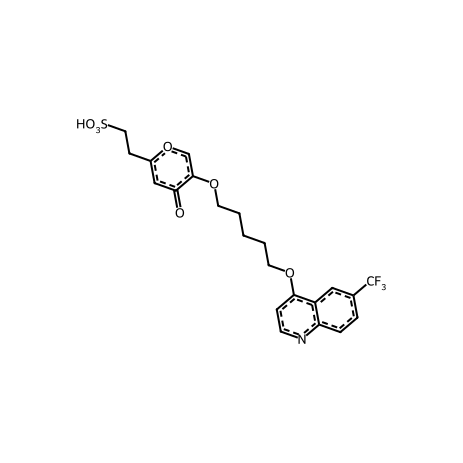 O=c1cc(CCS(=O)(=O)O)occ1OCCCCCOc1ccnc2ccc(C(F)(F)F)cc12